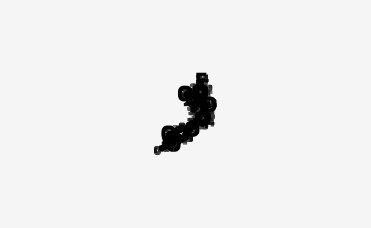 CCCS(=O)(=O)c1ccc(OCc2cccc(C(=O)N3c4ccc(F)cc4C(=O)CC3C)c2)cc1